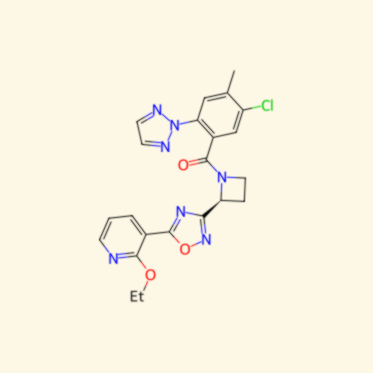 CCOc1ncccc1-c1nc([C@@H]2CCN2C(=O)c2cc(Cl)c(C)cc2-n2nccn2)no1